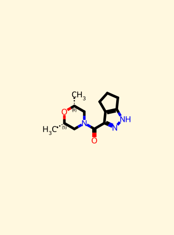 C[C@@H]1CN(C(=O)c2n[nH]c3c2CCC3)C[C@H](C)O1